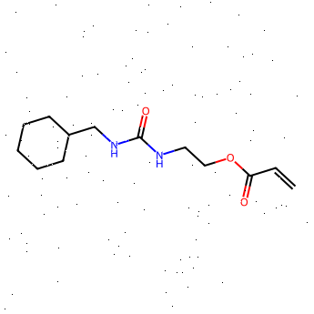 C=CC(=O)OCCNC(=O)NCC1CCCCC1